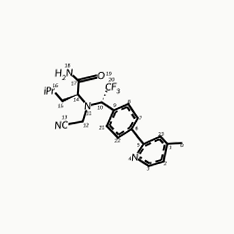 Cc1ccnc(-c2ccc([C@H](N(CC#N)[C@@H](CC(C)C)C(N)=O)C(F)(F)F)cc2)c1